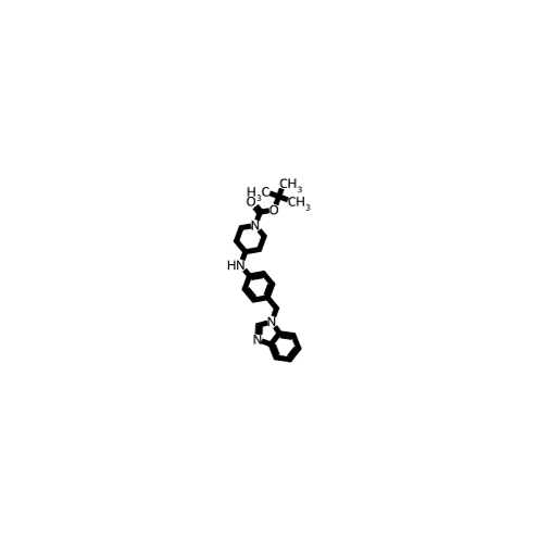 CC(C)(C)OC(=O)N1CCC(Nc2ccc(Cn3cnc4ccccc43)cc2)CC1